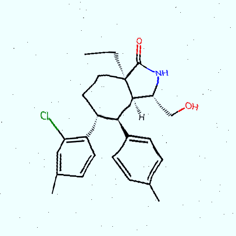 CC[C@@]12CC[C@@H](c3ccc(C)cc3Cl)[C@H](c3ccc(C)cc3)[C@@H]1[C@@H](CO)NC2=O